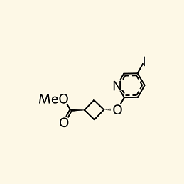 COC(=O)[C@H]1C[C@H](Oc2ccc(I)cn2)C1